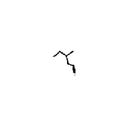 [CH2]CC(C)CC=O